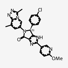 COc1ccc(-c2nc3c([nH]2)[C@H](c2ccc(Cl)cc2)N(c2cc(C)c4nnc(C)n4c2)C3=O)cn1